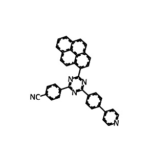 N#Cc1ccc(-c2nc(-c3ccc(-c4ccncc4)cc3)nc(-c3ccc4ccc5cccc6ccc3c4c56)n2)cc1